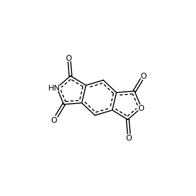 O=c1[nH]c(=O)c2cc3c(=O)oc(=O)c3cc12